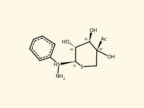 CC(=O)[C@@]1(O)CS[C@@H]([SH](N)c2ccccc2)[C@H](O)[C@H]1O